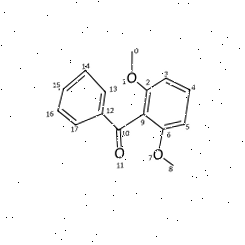 COc1cccc(OC)c1C(=O)c1cc[c]cc1